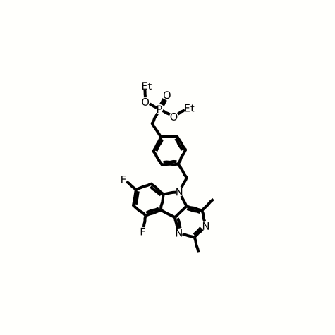 CCOP(=O)(Cc1ccc(Cn2c3cc(F)cc(F)c3c3nc(C)nc(C)c32)cc1)OCC